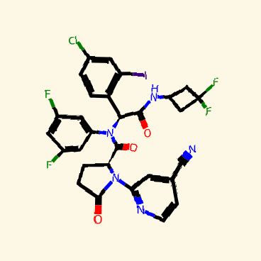 N#Cc1ccnc(N2C(=O)CC[C@H]2C(=O)N(c2cc(F)cc(F)c2)[C@H](C(=O)NC2CC(F)(F)C2)c2ccc(Cl)cc2I)c1